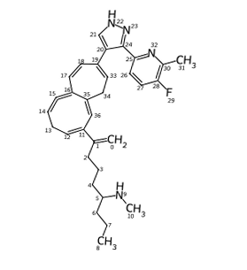 C=C(CCCC(CCC)NC)C1=C/CC=C=C2C=CC(c3c[nH]nc3-c3ccc(F)c(C)n3)=CC\C2=C\1